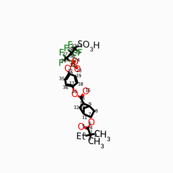 CCC(C)(C)C(=O)OC1CC2CC1CC2C(=O)Oc1ccc(OS(=O)(=O)C(F)(F)C(F)(F)C(F)(F)S(=O)(=O)O)cc1